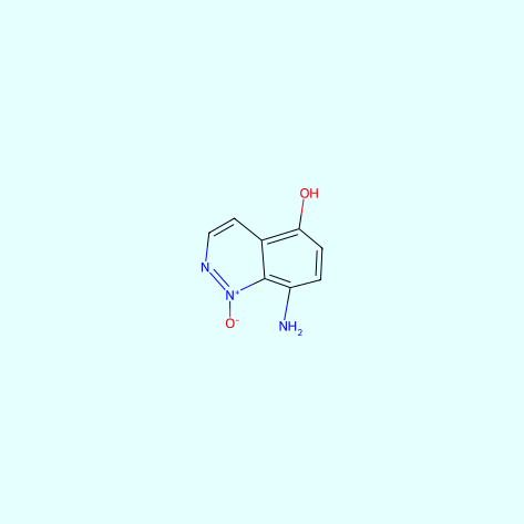 Nc1ccc(O)c2ccn[n+]([O-])c12